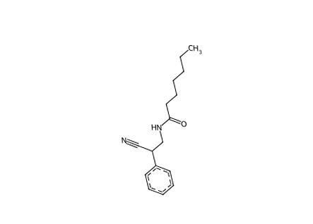 CCCCCCC(=O)NCC(C#N)c1ccccc1